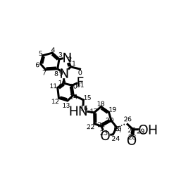 Cc1nc2ccccc2n1-c1cccc(CNc2ccc3c(c2)OC[C@H]3CC(=O)O)c1F